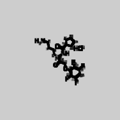 Cl.NCCCC[C@H](NC(=O)C1CCCC1)C(=O)COc1c(F)c(F)cc(F)c1F